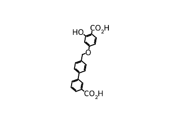 O=C(O)c1cccc(-c2ccc(COc3ccc(C(=O)O)c(O)c3)cc2)c1